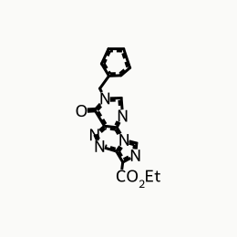 CCOC(=O)c1ncn2c1nnc1c(=O)n(Cc3ccccc3)cnc12